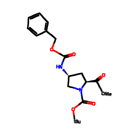 COC(=O)[C@@H]1C[C@@H](NC(=O)OCc2ccccc2)CN1C(=O)OC(C)(C)C